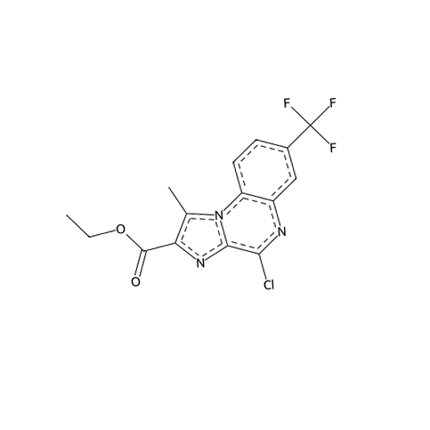 CCOC(=O)c1nc2c(Cl)nc3cc(C(F)(F)F)ccc3n2c1C